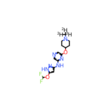 [2H]C([2H])([2H])N1CCC(Oc2cncc(Nc3cc(OC(F)F)[nH]n3)n2)CC1